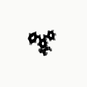 N[SH](=O)=O.c1ccc(Cc2ccccc2Cc2ccccc2)cc1